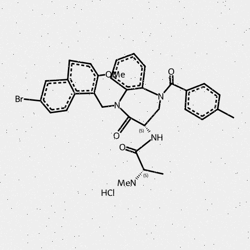 CN[C@@H](C)C(=O)N[C@H]1CN(C(=O)c2ccc(C)cc2)c2ccccc2N(Cc2c(OC)ccc3cc(Br)ccc23)C1=O.Cl